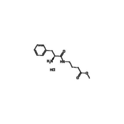 COC(=O)CCCNC(=O)[C@@H](N)Cc1ccccc1.Cl